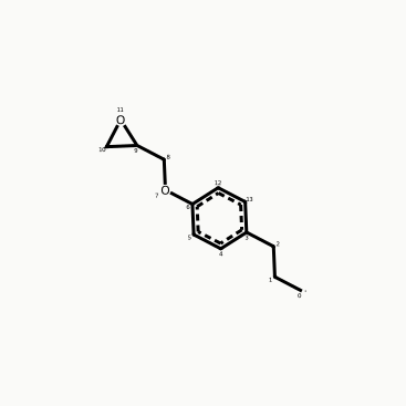 [CH2]CCc1ccc(OCC2CO2)cc1